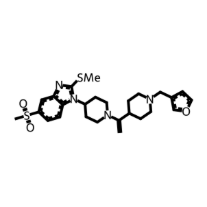 C=C(C1CCN(Cc2ccoc2)CC1)N1CCC(n2c(SC)nc3cc(S(C)(=O)=O)ccc32)CC1